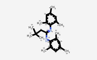 Cc1cc(C)c(/N=C(\CC(C)(C)C)Nc2c(C)cc(C)cc2C)c(C)c1